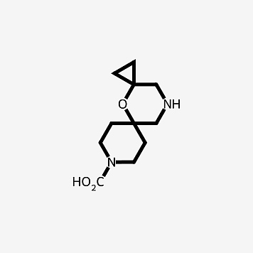 O=C(O)N1CCC2(CC1)CNCC1(CC1)O2